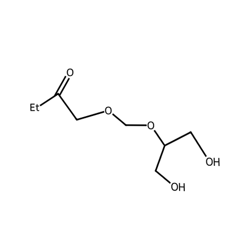 CCC(=O)COCOC(CO)CO